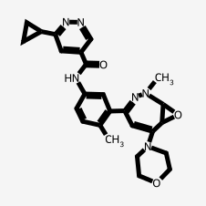 Cc1ccc(NC(=O)c2cnnc(C3CC3)c2)cc1C1=NN(C)C2OC2C(N2CCOCC2)=C1